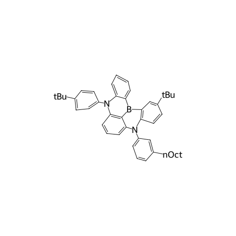 CCCCCCCCc1cccc(N2c3ccc(C(C)(C)C)cc3B3c4ccccc4N(c4ccc(C(C)(C)C)cc4)c4cccc2c43)c1